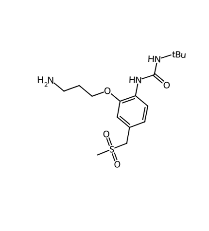 CC(C)(C)NC(=O)Nc1ccc(CS(C)(=O)=O)cc1OCCCN